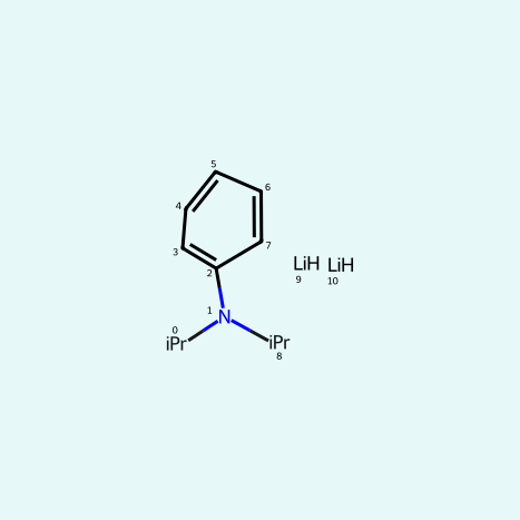 CC(C)N(c1ccccc1)C(C)C.[LiH].[LiH]